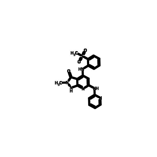 Cn1[nH]c2nc(Nc3ccccn3)cc(Nc3ccccc3S(C)(=O)=O)c2c1=O